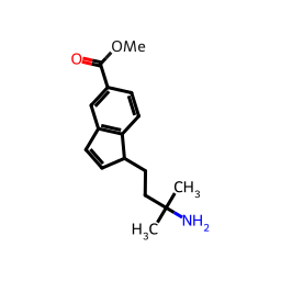 COC(=O)c1ccc2c(c1)C=CC2CCC(C)(C)N